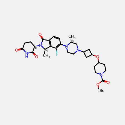 C[C@@H]1CN(C2CC(OC3CCN(C(=O)OC(C)(C)C)CC3)C2)CCN1c1ccc2c(c1F)[C@@H](C)N([C@@H]1CCC(=O)NC1=O)C2=O